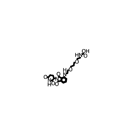 O=C(O)NCCOCCCOCCNc1cccc2c1C(=O)N(C1CCC(=O)NC1=O)C2=O